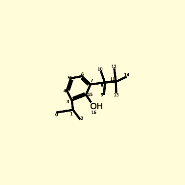 CC(C)c1c[c]cc(C(C)(C)C(C)(C)C)c1O